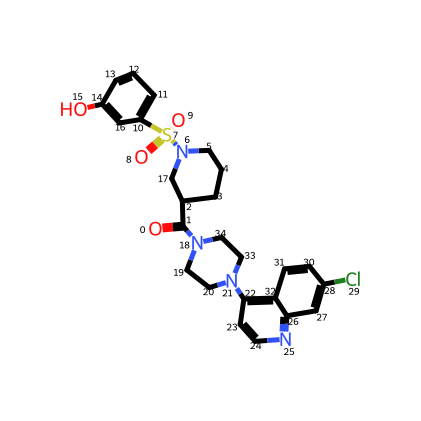 O=C(C1CCCN(S(=O)(=O)c2cccc(O)c2)C1)N1CCN(c2ccnc3cc(Cl)ccc23)CC1